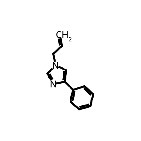 C=CCn1cnc(-c2ccccc2)c1